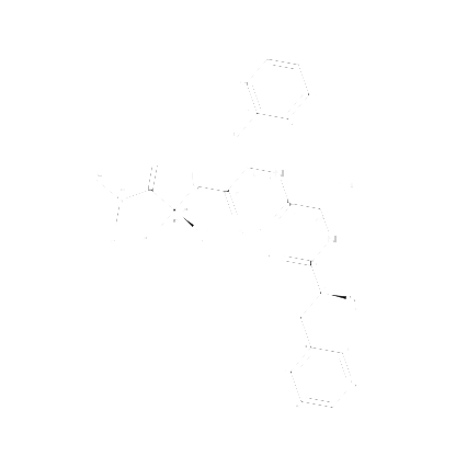 CCCC[C@H](NC(=O)[C@@H](N)Cc1cccnc1)C(=O)N[C@@H](Cc1ccccc1)C(=O)N[C@@](F)(CCCC)C(=O)N(C)F